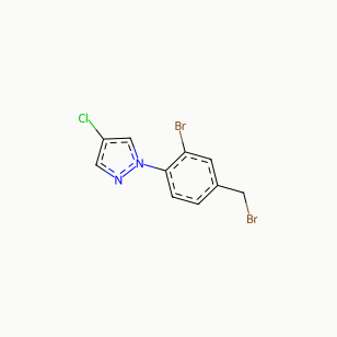 Clc1cnn(-c2ccc(CBr)cc2Br)c1